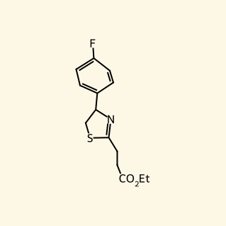 CCOC(=O)CCC1=NC(c2ccc(F)cc2)CS1